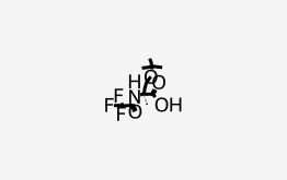 CC(C)(C)OC[C@](C)(NC(=O)C(F)(F)F)C(=O)O